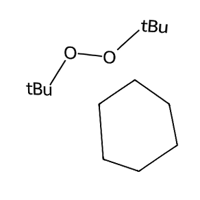 C1CCCCC1.CC(C)(C)OOC(C)(C)C